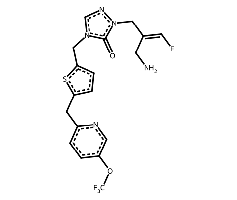 NC/C(=C\F)Cn1ncn(Cc2ccc(Cc3ccc(OC(F)(F)F)cn3)s2)c1=O